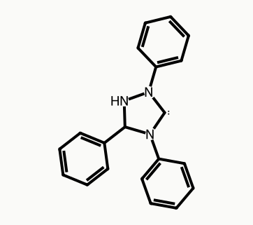 [C]1N(c2ccccc2)NC(c2ccccc2)N1c1ccccc1